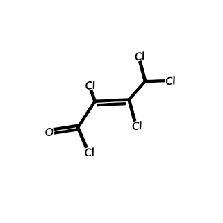 O=C(Cl)C(Cl)=C(Cl)C(Cl)Cl